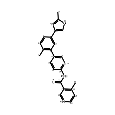 Cc1nc(-c2ccc(C)c(-c3ccc(NC(=O)c4cnccc4C)nc3)c2)co1